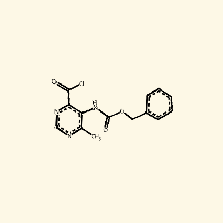 Cc1n[c]nc(C(=O)Cl)c1NC(=O)OCc1ccccc1